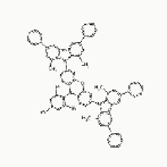 Cc1cc(-c2ccccc2)cc2c3cc(-c4ccccc4)cc(C)c3n(-c3ccc4c(c3)Oc3cc(-n5c6c(C)cc(-c7ccccc7)cc6c6cc(-c7ccccc7)cc(C)c65)ccc3B4c3c(C(C)C)cc(C(C)C)cc3C(C)C)c12